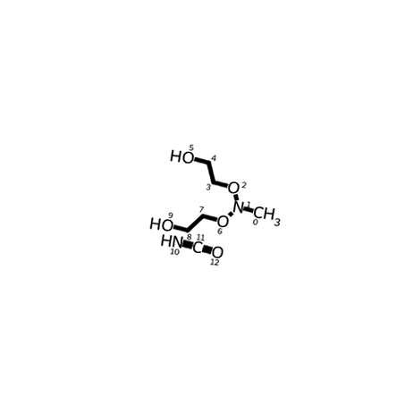 CN(OCCO)OCCO.N=C=O